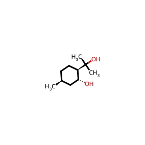 C[C@H]1CC[C@@H](C(C)(C)O)[C@H](O)C1